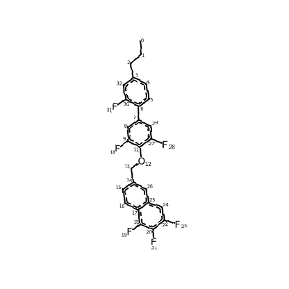 CCCc1ccc(-c2cc(F)c(OCc3ccc4c(F)c(F)c(F)cc4c3)c(F)c2)c(F)c1